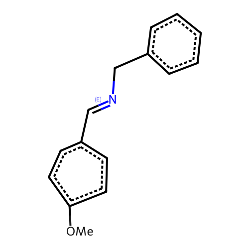 COc1ccc(/C=N/Cc2ccccc2)cc1